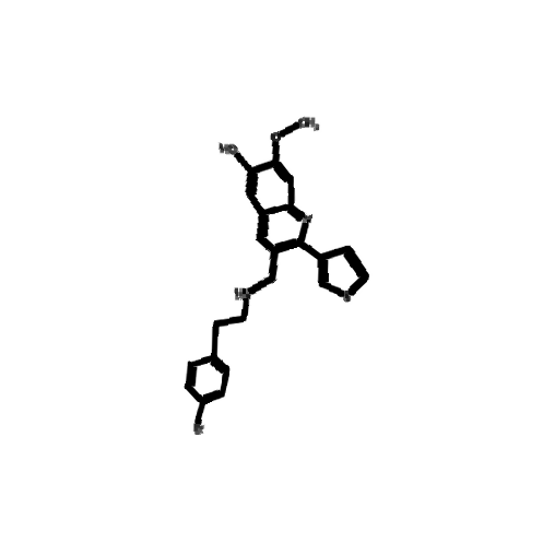 COc1cc2nc(-c3ccsc3)c(CNCCc3ccc(Br)cc3)cc2cc1O